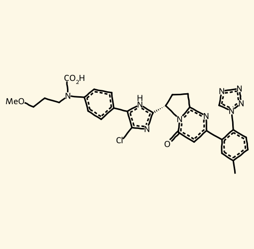 COCCCN(C(=O)O)c1ccc(-c2[nH]c([C@@H]3CCc4nc(-c5cc(C)ccc5-n5cnnn5)cc(=O)n43)nc2Cl)cc1